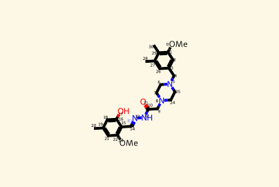 COc1cc(CN2CCN(CC(=O)N/N=C/c3c(O)cc(C)cc3OC)CC2)cc(C)c1C